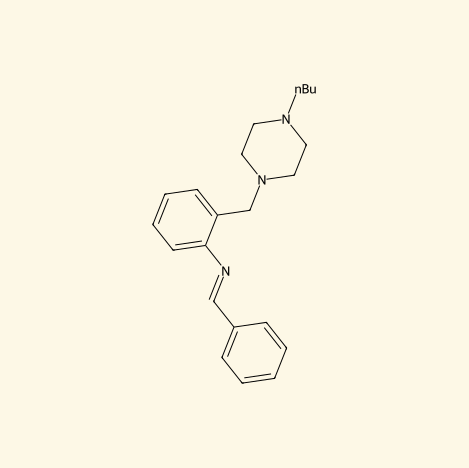 CCCCN1CCN(Cc2ccccc2N=Cc2ccccc2)CC1